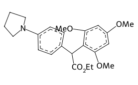 CCOC(=O)C(c1ccc(N2CCCC2)cc1)c1c(OC)cc(OC)cc1OC